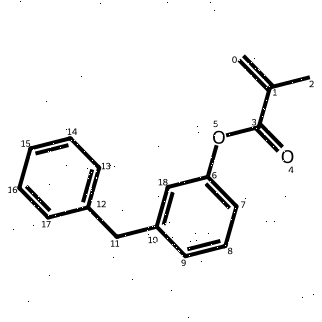 C=C(C)C(=O)Oc1cccc(Cc2ccccc2)c1